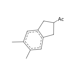 CC(=O)C1Cc2cc(C)c(C)cc2C1